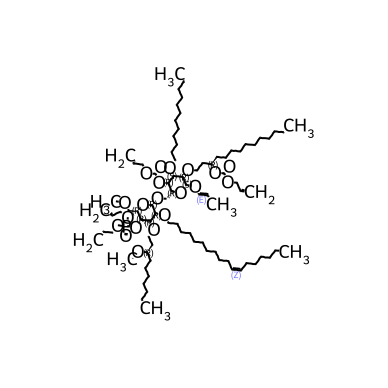 C=CCOC(=O)O[C@H](CCCCCCCCCCC)CCO[C@H]1[C@@H](O/C=C/C)O[C@H](CO[C@@H]2O[C@H](COC)[C@@H](OP(=O)(OCC=C)OCC=C)[C@H](OCC[C@@H](CCCCCCC)OC)[C@H]2OCCCCCCCCCC/C=C\CCCCCC)[C@@H](OC(=O)OCC=C)[C@@H]1OCCCCCCCCCCCC